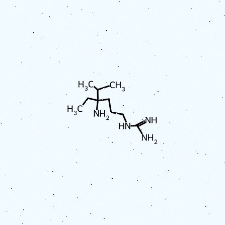 CCC(N)(CCCNC(=N)N)C(C)C